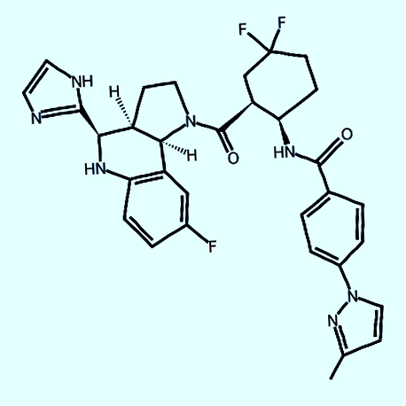 Cc1ccn(-c2ccc(C(=O)N[C@@H]3CCC(F)(F)C[C@@H]3C(=O)N3CC[C@@H]4[C@H](c5ncc[nH]5)Nc5ccc(F)cc5[C@@H]43)cc2)n1